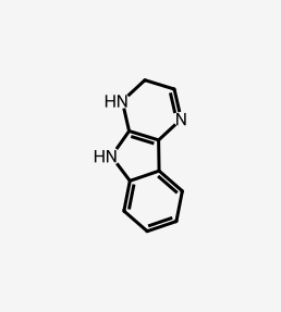 C1=Nc2c([nH]c3ccccc23)NC1